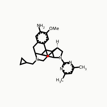 COc1cc2c(cc1N)CC1N(CC3CC3)CCC23C2C4CCC13C[C@@H]2CN4c1nc(C)cc(C)n1